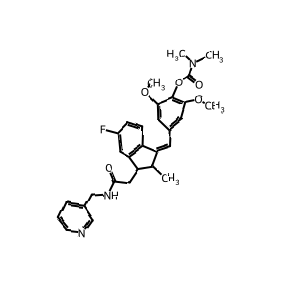 COc1cc(/C=C2\c3ccc(F)cc3C(CC(=O)NCc3cccnc3)C2C)cc(OC)c1OC(=O)N(C)C